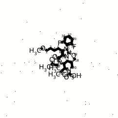 COCCCCc1c(C(=O)N(CC(C)C)[C@H]2C[C@@H](C=O)CN(C(=O)O)C2C(C)(C)C)nnn1-c1c(F)cccc1F